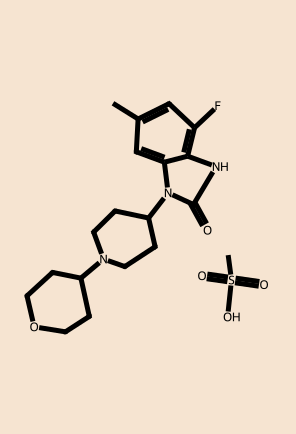 CS(=O)(=O)O.Cc1cc(F)c2[nH]c(=O)n(C3CCN(C4CCOCC4)CC3)c2c1